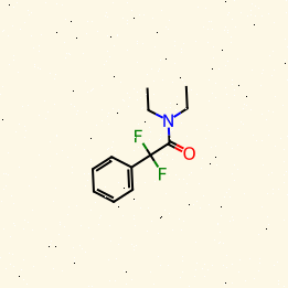 CCN(CC)C(=O)C(F)(F)c1ccccc1